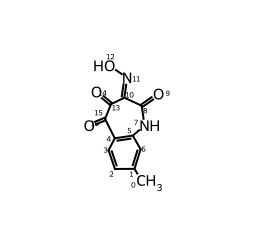 Cc1ccc2c(c1)NC(=O)/C(=N/O)C(=O)C2=O